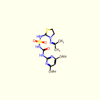 COc1cc(OC)nc(NC(=O)NS(=O)(=O)NC2SCCN2N=C(C)C)n1